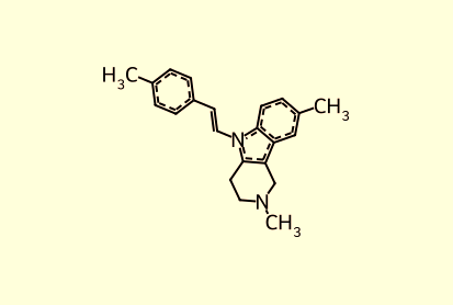 Cc1ccc(/C=C/n2c3c(c4cc(C)ccc42)CN(C)CC3)cc1